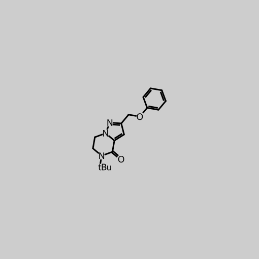 CC(C)(C)N1CCn2nc(COc3ccccc3)cc2C1=O